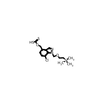 C[Si](C)(C)CCOCn1ncc2c(COC(=S)S)ccc(Cl)c21